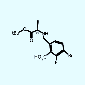 C[C@@H](NCc1ccc(Br)c(F)c1C(=O)O)C(=O)OC(C)(C)C